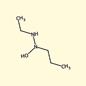 CCCN(O)NCC